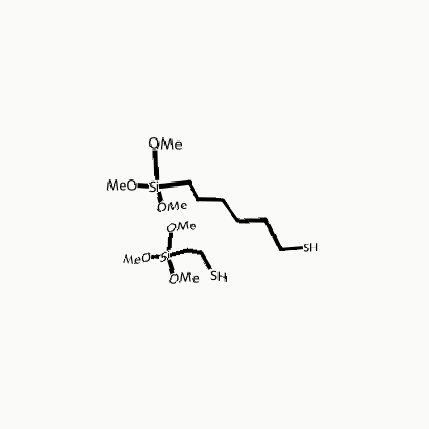 CO[Si](CCCCCCS)(OC)OC.CO[Si](CS)(OC)OC